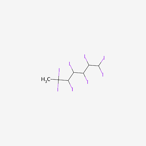 CC(I)(I)C(I)C(I)C(I)C(I)C(I)I